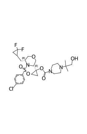 CC(C)(CO)N1CCN(C(=O)OC2([C@H]3COC[C@@H](CC4CC4(F)F)N3S(=O)(=O)c3ccc(Cl)cc3)CC2)CC1